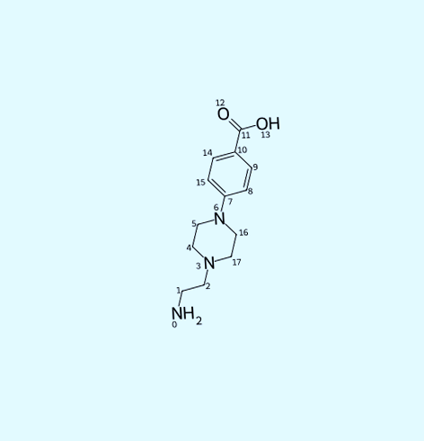 NCCN1CCN(c2ccc(C(=O)O)cc2)CC1